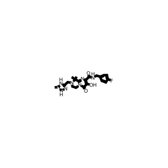 CN1NN=C(CN2CCn3c(nc(C(=O)NCc4ccc(F)cc4)c(O)c3=O)C2(C)C)N1